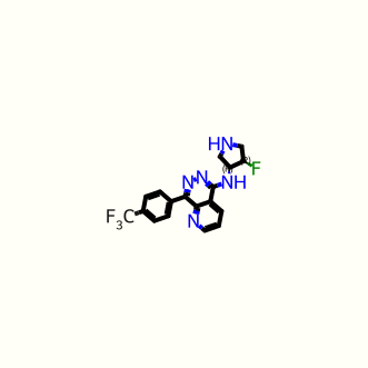 F[C@@H]1CNC[C@H]1Nc1nnc(-c2ccc(C(F)(F)F)cc2)c2ncccc12